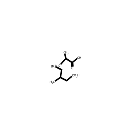 CC(C)C(=O)O.CC(CC(=O)O)CC(C)(C)C